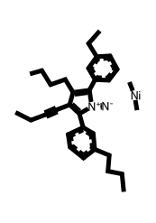 CCC#CC1=C(c2cccc(CCCC)c2)[N+](=[N-])C(c2cccc(CC)c2)=C1CCCC.[CH3][Ni][CH3]